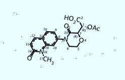 CC(=O)O[C@@H](C(=O)O)[C@H]1OCCN(c2ccc3ccc(=O)n(C)c3c2)C1=O